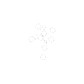 c1ccc(-c2ccc(N(c3ccc4oc5ccccc5c4c3)c3cccc(-c4ccccc4)c3-c3ccc4c(c3)oc3ccccc34)cc2)cc1